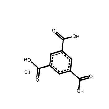 O=C(O)c1cc(C(=O)O)cc(C(=O)O)c1.[Cd]